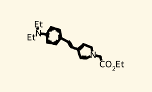 CCOC(=O)CN1C=CC(/C=C/c2ccc(N(CC)CC)cc2)=CC1